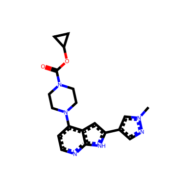 Cn1cc(-c2cc3c(N4CCN(C(=O)OC5CC5)CC4)ccnc3[nH]2)cn1